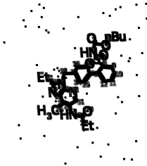 CCCCOC(=O)NS(=O)(=O)c1ccccc1-c1ccc(Cn2c(CC)nc3c(C)c(NC(=O)CC)cnc32)cc1